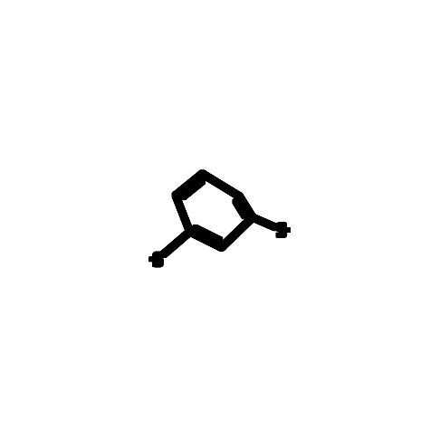 [S]c1cccc([S])c1